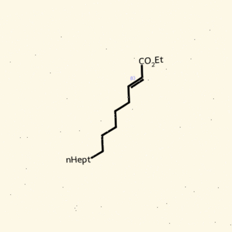 CCCCCCCCCCCC/C=C/C(=O)OCC